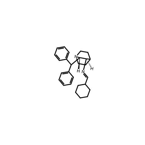 C(=N\[C@@H]1C2CCN(CC2)[C@H]1C(c1ccccc1)c1ccccc1)/C1CCCCC1